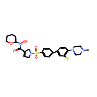 CN1CCN(c2ccc(-c3ccc(S(=O)(=O)N4CC=C(C(=O)N(O)C5CCCCO5)C4)cc3)cc2F)CC1